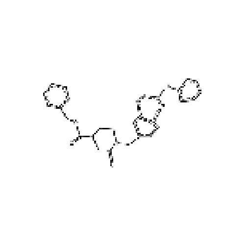 O=C1CN(C(=O)OCc2ccccc2)CCN1Cc1ccc2nc(Oc3ccccc3)ccc2c1